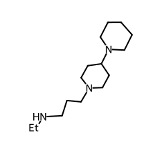 CCNCCCN1CCC(N2CCCCC2)CC1